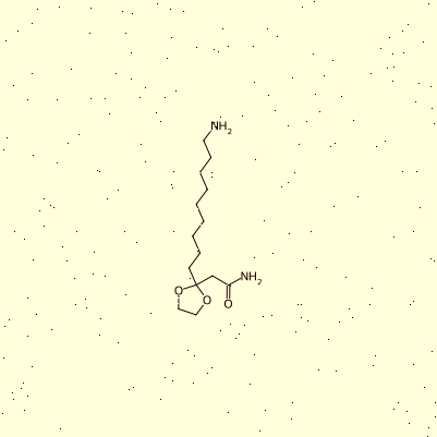 NCCCCCCCCCC1(CC(N)=O)OCCO1